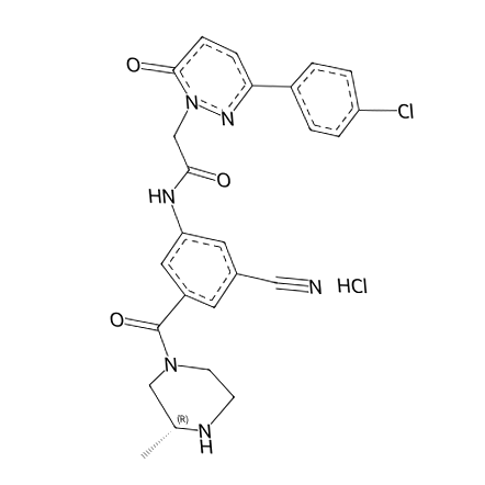 C[C@@H]1CN(C(=O)c2cc(C#N)cc(NC(=O)Cn3nc(-c4ccc(Cl)cc4)ccc3=O)c2)CCN1.Cl